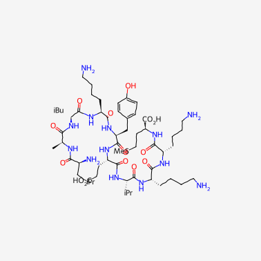 CC[C@H](C)[C@H](NC(=O)[C@H](C)NC(=O)[C@@H](N)CC(C)C)C(=O)N[C@@H](CCCCN)C(=O)N[C@@H](Cc1ccc(O)cc1)C(=O)N[C@@H](CCC(=O)O)C(=O)N[C@H](C(=O)N[C@@H](CCCCN)C(=O)N[C@@H](CCCCN)C(=O)N[C@@H](CCSC)C(=O)O)C(C)C